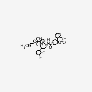 COCCOC(C)(C)c1cnc2n1C[C@H](c1cccc(F)c1F)CC[C@H]2NC(=O)N1CCC2(CC1)OC(=O)Nc1ncccc12